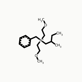 CCC(C)C[N+](CCOC)(CCOC)Cc1ccccc1